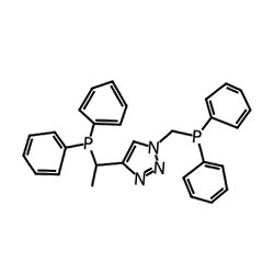 CC(c1cn(CP(c2ccccc2)c2ccccc2)nn1)P(c1ccccc1)c1ccccc1